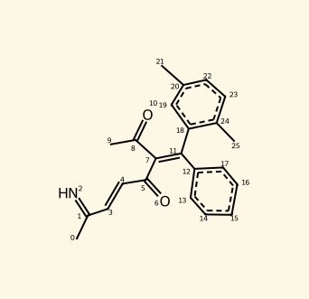 CC(=N)/C=C/C(=O)/C(C(C)=O)=C(\c1ccccc1)c1cc(C)ccc1C